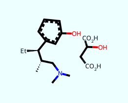 CC[C@@H](c1cccc(O)c1)[C@@H](C)CN(C)C.O=C(O)CC(O)C(=O)O